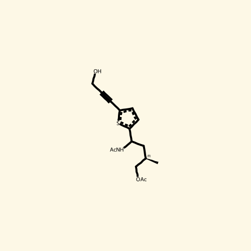 CC(=O)NC(C[C@@H](C)COC(C)=O)c1ccc(C#CCO)s1